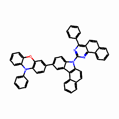 c1ccc(-c2nc(-n3c4ccc(-c5ccc6c(c5)Oc5ccccc5N6c5ccccc5)cc4c4c5ccccc5ccc43)nc3c2ccc2ccccc23)cc1